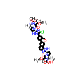 COC(=O)N[C@H](C(=O)N1[C@@H](C)CC[C@H]1c1nc(Cl)c(-c2ccc3c(c2)COc2cc4c(ccc5nc([C@@H]6CC[C@H](C)N6C(=O)[C@H]([C@@H](C)OC)N(C)C(=O)O)[nH]c54)cc2-3)[nH]1)C(C)OC